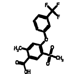 Cc1cc(Oc2cccc(C(F)(F)F)c2)c(S(C)(=O)=O)cc1C(=O)O